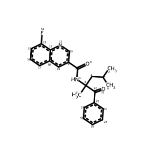 CC(C)CC(C)(NC(=O)c1cnc2c(F)cccc2c1)C(=O)c1ccccc1